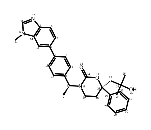 C[C@@H](c1ccc(-c2ccc3ncn(C)c3c2)cc1)N1CC[C@](CC(C)(C)O)(c2ccccc2)OC1=O